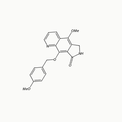 COc1ccc(COc2c3c(c(OC)c4cccnc24)CNC3=O)cc1